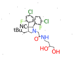 CC(C)(C)C[C@@H]1CN(CC(=O)NCC[C@H](O)CO)[C@H](c2cccc(Cl)c2F)[C@@]1(C#N)c1ccc(Cl)cc1F